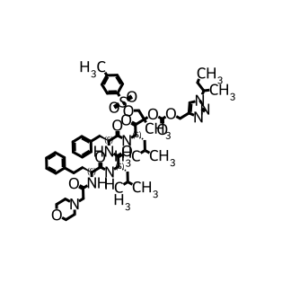 CCC(C)n1cc(COC(=O)OC(C)(COS(=O)(=O)c2ccc(C)cc2)C(=O)[C@H](CC(C)C)NC(=O)[C@H](Cc2ccccc2)NC(=O)[C@H](CC(C)C)NC(=O)[C@H](CCc2ccccc2)NC(=O)CN2CCOCC2)nn1